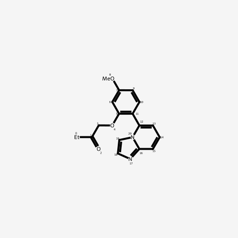 CCC(=O)COc1cc(OC)ccc1-c1cccc2nccn12